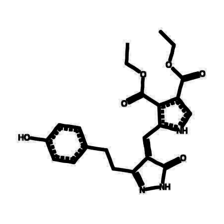 CCOC(=O)c1c[nH]c(C=C2C(=O)NN=C2CCc2ccc(O)cc2)c1C(=O)OCC